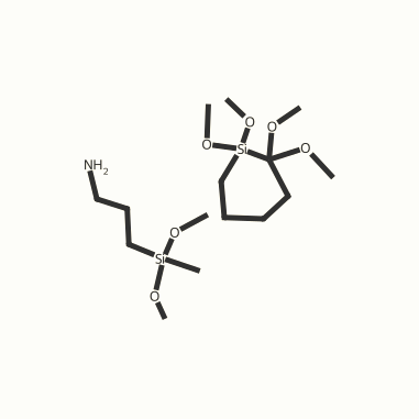 COC1(OC)CCCC[Si]1(OC)OC.CO[Si](C)(CCCN)OC